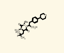 CN(C(=O)OC(C)(C)C)C(CC(C)(C)F)C(=O)OC(Cc1ccc(C2CCOCC2)cc1)C(=O)O